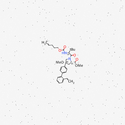 C=CCCCOC(=O)N[C@H](C(=O)N1C[C@](OC)(c2ccc(-c3ccccc3C=C)cc2)C[C@H]1C(=O)OC)C(C)(C)C